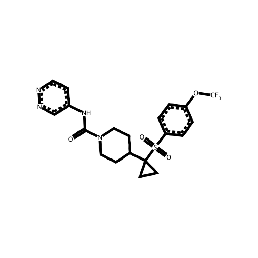 O=C(Nc1ccnnc1)N1CCC(C2(S(=O)(=O)c3ccc(OC(F)(F)F)cc3)CC2)CC1